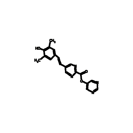 Cc1cc(/C=C/c2cnc(C(=O)Oc3cncnc3)nc2)cc(C)c1O